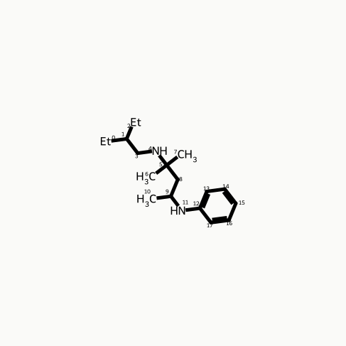 CCC(CC)CNC(C)(C)CC(C)Nc1ccccc1